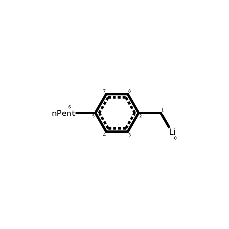 [Li][CH2]c1ccc(CCCCC)cc1